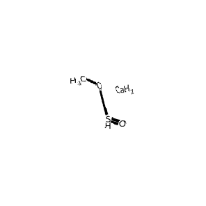 CO[SH]=O.[CaH2]